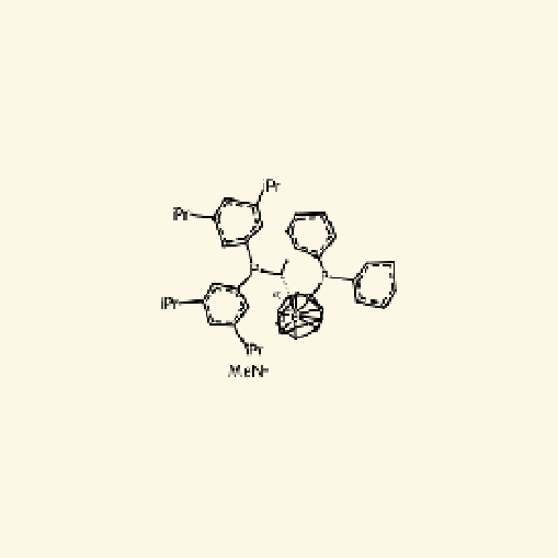 CC(C)c1cc(C(C)C)cc(P(c2cc(C(C)C)cc(C(C)C)c2)C(C)[C@]23[CH]4[CH]5[CH]6[C]2(P(c2ccccc2)c2ccccc2)[Fe]56432789[CH]3[CH]2[CH]7[CH]8[CH]39)c1.CNC